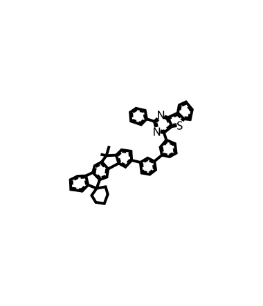 CC1(C)c2ccc(-c3cccc(-c4cccc(-c5nc(-c6ccccc6)nc6c5sc5ccccc56)c4)c3)cc2-c2cc3c(cc21)-c1ccccc1C31CCCCC1